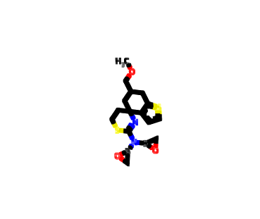 COCC1Cc2sccc2C2(CCSC(N(B3CO3)B3CO3)=N2)C1